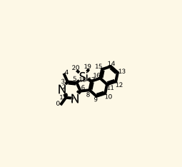 Cc1nc(C)c2c(n1)-c1ccc3ccccc3c1[Si]2(C)C